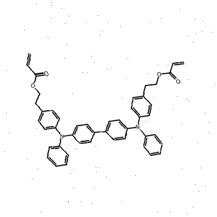 C=CC(=O)OCCc1ccc(N(c2ccccc2)c2ccc(-c3ccc(N(c4ccccc4)c4ccc(CCOC(=O)C=C)cc4)cc3)cc2)cc1